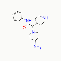 NC1CCN(C(C(=O)Nc2ccccc2)C2CCNCC2)CC1